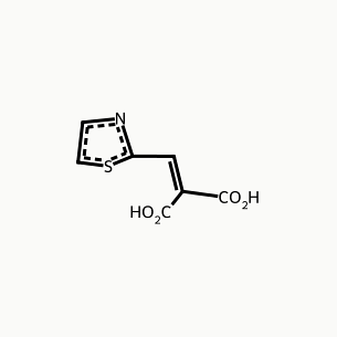 O=C(O)C(=Cc1nccs1)C(=O)O